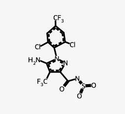 Nc1c(C(F)(F)F)c(C(=O)N=S(=O)=O)nn1-c1c(Cl)cc(C(F)(F)F)cc1Cl